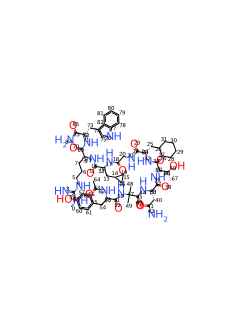 CNC(=N)NCCC[C@H](NC(=O)[C@H](CC1CC1)NC(=O)CNC(=O)[C@H](CC1CCCCC1)NC(=O)[C@@H](NC(=O)[C@H](CC(N)=O)NC(=O)C(C)(C)NC(=O)[C@@H](Cc1ccc(O)cc1)NC(C)=O)[C@@H](C)O)C(=O)N[C@@H](Cc1c[nH]c2ccccc12)C(N)=O